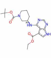 CCOC(=O)c1c[nH]c2ncnc(N[C@@H]3CCCN(C(=O)OC(C)(C)C)C3)c12